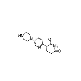 O=C1CCC(c2ccc(N3CCNCC3)cn2)C(=O)N1